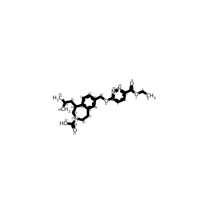 CCOC(=O)c1ccc(OCc2ccc3c(c2)CCN(C(=O)O)CC3CC(C)C)nn1